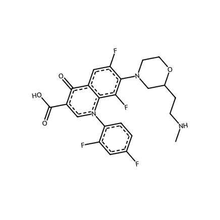 CNCCC1CN(c2c(F)cc3c(=O)c(C(=O)O)cn(-c4ccc(F)cc4F)c3c2F)CCO1